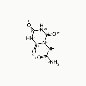 NC(=O)Nn1c(=O)[nH]c(=O)[nH]c1=O